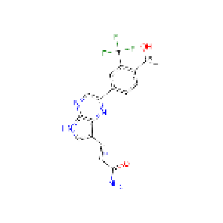 C[C@@H](O)c1ccc(-c2cnc3[nH]cc(/C=C/C(N)=O)c3n2)cc1C(F)(F)F